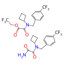 NC(=O)C(=O)N(Cc1ccc(C(F)(F)F)cc1)C1CCC1.O=C(OCC(F)(F)F)C(=O)N(Cc1ccc(C(F)(F)F)cc1)C1CCC1